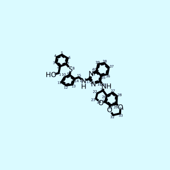 OCc1ccccc1Sc1ccccc1CNc1nc(NC2CCOc3c2ccc2c3OCCO2)c2ccccc2n1